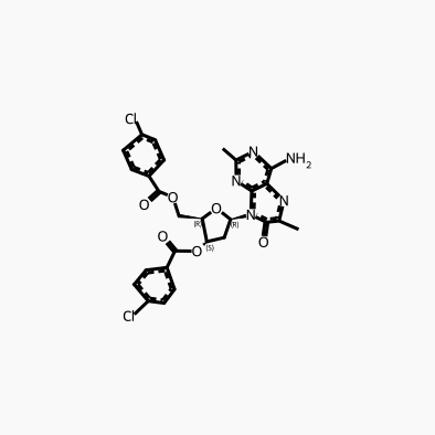 Cc1nc(N)c2nc(C)c(=O)n([C@H]3C[C@H](OC(=O)c4ccc(Cl)cc4)[C@@H](COC(=O)c4ccc(Cl)cc4)O3)c2n1